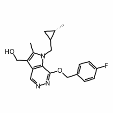 Cc1c(CO)c2cnnc(OCc3ccc(F)cc3)c2n1CC1C[C@@H]1C